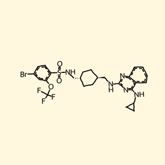 O=S(=O)(NC[C@H]1CC[C@H](CNc2nc(NC3CC3)c3ccccc3n2)CC1)c1ccc(Br)cc1OC(F)(F)F